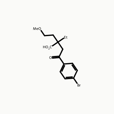 CCC(CCOC)(CC(=O)c1ccc(Br)cc1)C(=O)O